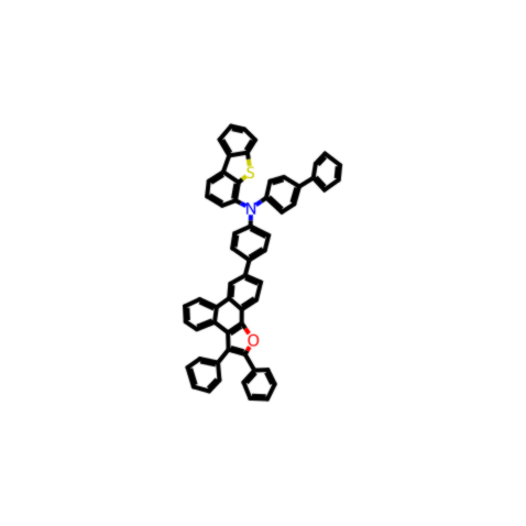 c1ccc(-c2ccc(N(c3ccc(-c4ccc5c(c4)c4ccccc4c4c(-c6ccccc6)c(-c6ccccc6)oc54)cc3)c3cccc4c3sc3ccccc34)cc2)cc1